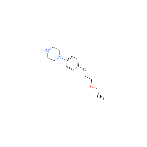 FC(F)(F)COCCOc1ccc(N2CCNCC2)cc1